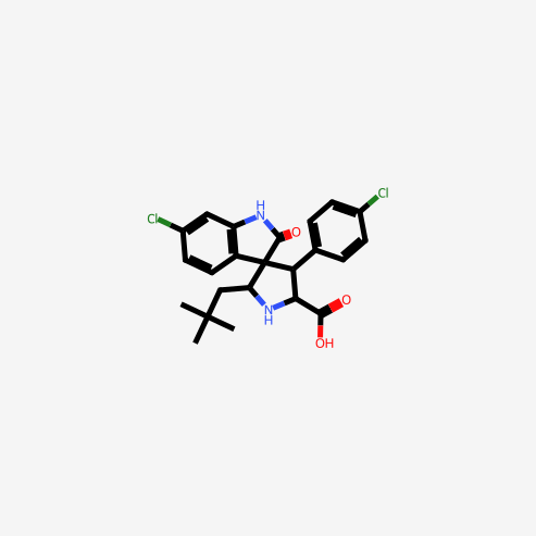 CC(C)(C)CC1NC(C(=O)O)C(c2ccc(Cl)cc2)C12C(=O)Nc1cc(Cl)ccc12